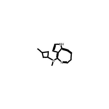 CC1CC(N(C)C2=c3\cc[nH]c3=C=CC/C=N\2)C1